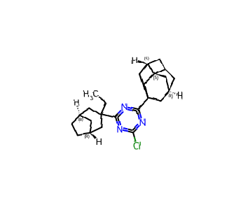 CCC1(c2nc(Cl)nc(C34C[C@@H]5CC6C[C@@H](C3)[C@@]6(C5)C4)n2)C[C@@H]2CC[C@H](C2)C1